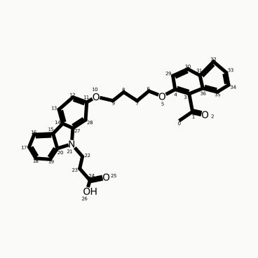 CC(=O)c1c(OCCCCOc2ccc3c4ccccc4n(CCC(=O)O)c3c2)ccc2ccccc12